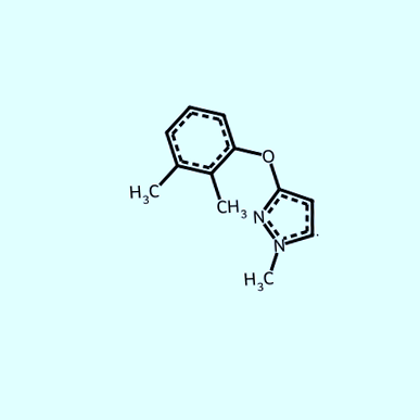 Cc1cccc(Oc2c[c]n(C)n2)c1C